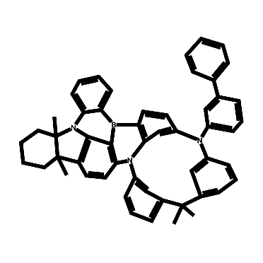 CC1(C)c2cccc(c2)N(c2cccc(-c3ccccc3)c2)c2ccc3c(c2)N(c2cccc1c2)c1ccc2c4c1B3c1ccccc1N4C1(C)CCCCC21C